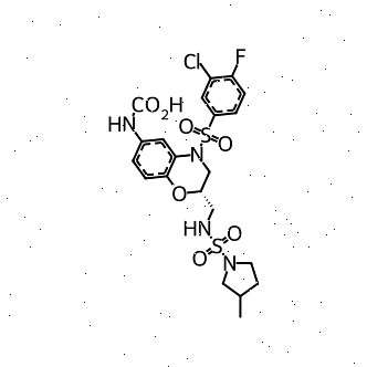 CC1CCN(S(=O)(=O)NC[C@H]2CN(S(=O)(=O)c3ccc(F)c(Cl)c3)c3cc(NC(=O)O)ccc3O2)C1